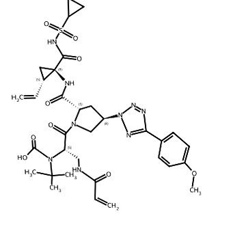 C=CC(=O)NC[C@@H](C(=O)N1C[C@H](n2nnc(-c3ccc(OC)cc3)n2)C[C@H]1C(=O)N[C@]1(C(=O)NS(=O)(=O)C2CC2)C[C@H]1C=C)N(C(=O)O)C(C)(C)C